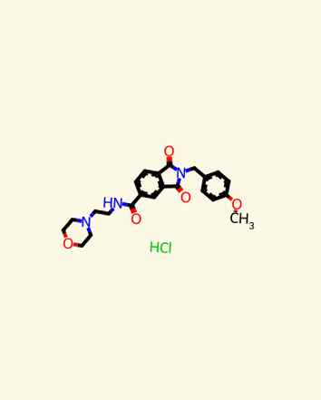 COc1ccc(CN2C(=O)c3ccc(C(=O)NCCN4CCOCC4)cc3C2=O)cc1.Cl